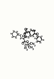 CC(C)(C)OC(=O)C(CCC1CCCCC1)NCc1cc(Oc2ccccc2)ncc1[N+](=O)[O-]